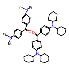 CCN(CC)c1ccc(C(=O)c2ccc(N(CC)CC)cc2)cc1.O=C(c1ccc(N(C2CCCCC2)C2CCCCC2)cc1)c1ccc(N(C2CCCCC2)C2CCCCC2)cc1